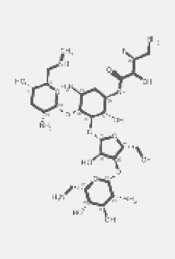 CNC[C@H]1O[C@H](O[C@H]2[C@H](O[C@@H]3O[C@H](CO)[C@@H](O[C@H]4O[C@@H](CN)[C@@H](O)[C@H](O)[C@H]4N)[C@H]3O)[C@@H](O)[C@H](NC(=O)C(O)[C@@H](F)CN)C[C@@H]2N)[C@H](N)C[C@@H]1O